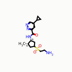 C[C@H]1CC(S(=O)(=O)CCN)C[C@H]1NC(=O)c1cc(C2CC2)cnn1